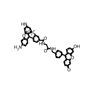 N=c1ccc2c(-c3ccc(C(=O)NCC(=O)NCc4ccc(-c5c6ccc(=O)cc-6oc6cc(O)ccc56)cc4)cc3C(=O)O)c3ccc(N)cc3oc-2c1